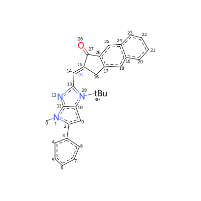 Cn1c(-c2ccccc2)cc2c1nc(/C=C1\Cc3cc4ccccc4cc3C1=O)n2C(C)(C)C